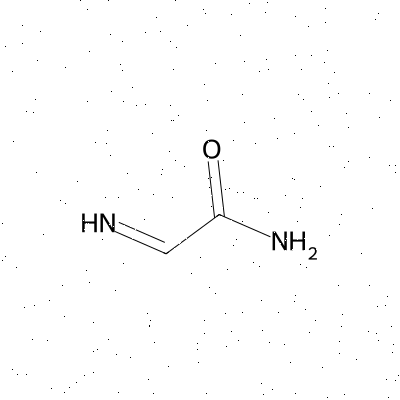 N=CC(N)=O